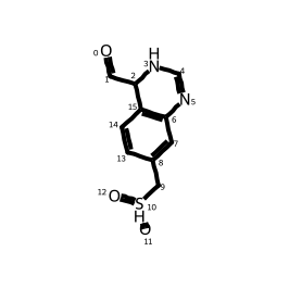 O=CC1NC=Nc2cc(C[SH](=O)=O)ccc21